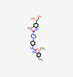 COc1ccc(C)cc1NC(=O)Nc1ccc(N2CCN(C(=O)Nc3ccc([C@H](O)CO)cc3C)CC2)cc1